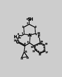 CC1CC(S)CCN1C(C(=O)C1CC1)c1ccccc1F